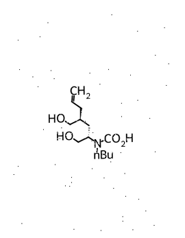 C=CC[C@H](CO)C[C@@H](CO)N(CCCC)C(=O)O